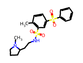 Cc1ccc(S(=O)(=O)c2ccccc2)cc1S(=O)(=O)NCCC1CCCN1C